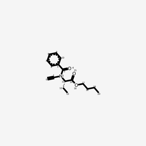 C#CN(C(=O)c1ccccc1)[C@@H](CC)C(=O)OCCCC